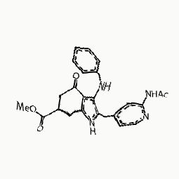 COC(=O)C1CC(=O)c2c([nH]c(-c3ccnc(NC(C)=O)c3)c2Nc2ccccc2)C1